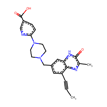 CC#Cc1cc(CN2CCN(c3ccc(C(=O)O)cn3)CC2)cc2[nH]c(=O)c(C)nc12